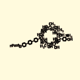 CCCCCOc1ccc(-c2ccc(-c3ccc(C(=O)N[C@H]4C[C@@H](O)[C@@H](OCCC)NC(=O)C5C(O)[C@@H](C)CN5C(=O)[C@H]([C@@H](C)O)NC(=O)C(C(O)[C@@H](O)c5ccc(O)c(N)c5)NC(=O)[C@@H]5C[C@@H](O)CN5C(=O)[C@H]([C@@H](C)O)NC4=O)cc3)cc2)cc1